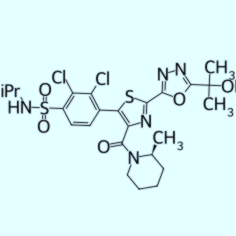 CC(C)NS(=O)(=O)c1ccc(-c2sc(-c3nnc(C(C)(C)O)o3)nc2C(=O)N2CCCC[C@@H]2C)c(Cl)c1Cl